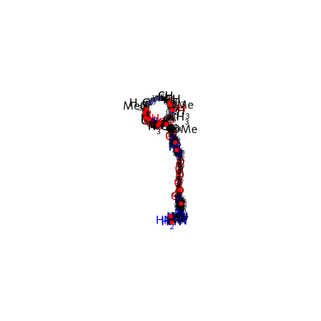 CO[C@H]1C[C@@H]2CC[C@@H](C)[C@@](O)(O2)C(=O)C(=O)N2CCCC[C@H]2C(=O)O[C@H]([C@H](C)C[C@@H]2CC[C@@H](OC(=O)N3CCc4nc(N5CCN(CCOCCOCCOCCOCCOCCC(=O)N6CCc7cc(Cn8nc(-c9cnc%10[nH]ccc%10c9)c9c(N)ncnc98)ccc7C6)CC5)ncc4C3)[C@H](OC)C2)CC(=O)[C@H](C)/C=C(\C)[C@@H](O)[C@@H](OC)C(=O)[C@H](C)C[C@H](C)/C=C/C=C/C=C/1C